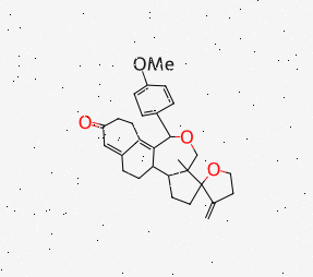 C=C1CCOC12CCC1C3CCC4=CC(=O)CCC4=C3C(c3ccc(OC)cc3)OCC12C